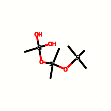 C[Si](C)(C)O[Si](C)(C)O[Si](C)(O)O